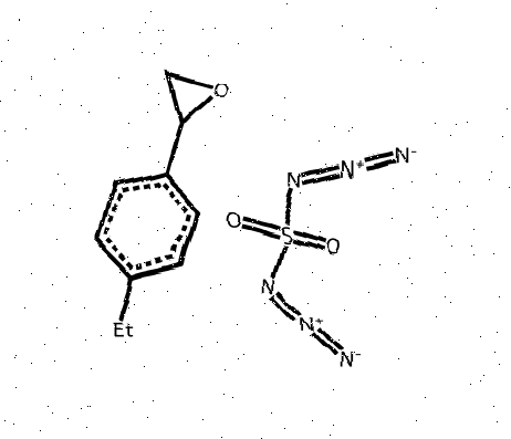 CCc1ccc(C2CO2)cc1.[N-]=[N+]=NS(=O)(=O)N=[N+]=[N-]